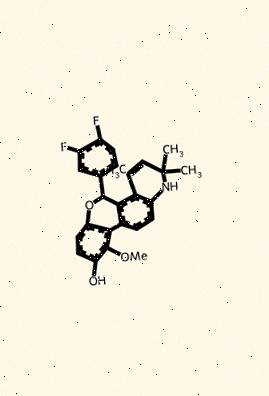 COc1c(O)ccc2c1-c1ccc3c(c1C(c1ccc(F)c(F)c1)O2)C(C)=CC(C)(C)N3